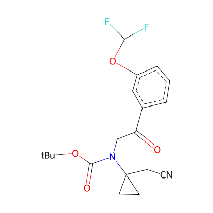 CC(C)(C)OC(=O)N(CC(=O)c1cccc(OC(F)F)c1)C1(CC#N)CC1